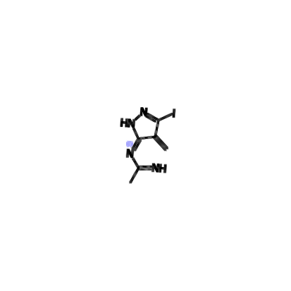 C=C1C(I)=NN/C1=N/C(C)=N